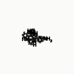 Cc1[nH]c2ccccc2c1C1=C(c2c(Cc3cccc(CN)n3)[nH]c3ccccc23)C(=O)NC1=O.Cl.Cl